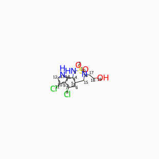 O=S1(=O)Nc2c(cc(Cl)c3c(Cl)c[nH]c23)CN1CCO